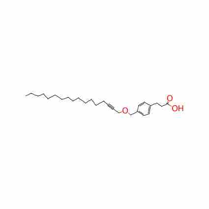 CCCCCCCCCCCCCCC#CCOCc1ccc(CCC(=O)O)cc1